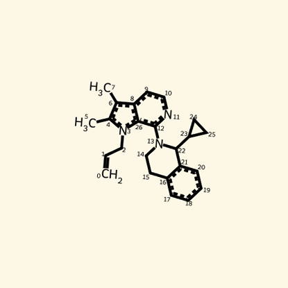 C=CCn1c(C)c(C)c2ccnc(N3CCc4ccccc4C3C3CC3)c21